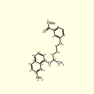 COC(=O)c1cccc(OCCCC(C)Oc2cccc3ccc(N)nc23)c1